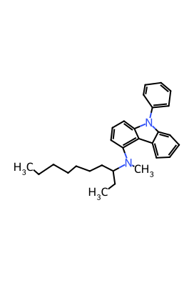 CCCCCCCC(CC)N(C)c1cccc2c1c1ccccc1n2-c1ccccc1